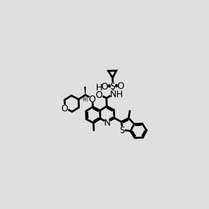 Cc1c(-c2cc(C(O)NS(=O)(=O)C3CC3)c3c(O[C@H](C)C4CCOCC4)ccc(C)c3n2)sc2ccccc12